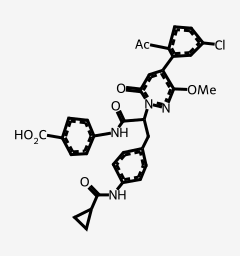 COc1nn(C(Cc2ccc(NC(=O)C3CC3)cc2)C(=O)Nc2ccc(C(=O)O)cc2)c(=O)cc1-c1cc(Cl)ccc1C(C)=O